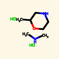 CC1CNCCO1.CNC.Cl.Cl